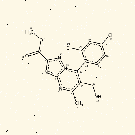 COC(=O)c1nc2nc(C)c(CN)c(-c3ccc(Cl)cc3Cl)n2n1